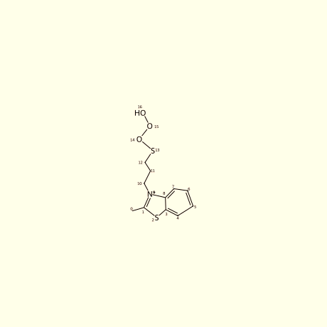 Cc1sc2ccccc2[n+]1CCCSOOO